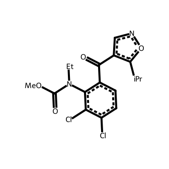 CCN(C(=O)OC)c1c(C(=O)c2cnoc2C(C)C)ccc(Cl)c1Cl